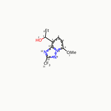 CCC(O)c1ccc(OC)n2nc(C(F)(F)F)nc12